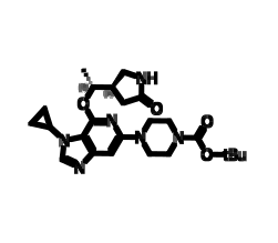 C[C@@H](Oc1nc(N2CCN(C(=O)OC(C)(C)C)CC2)cc2ncn(C3CC3)c12)[C@H]1CNC(=O)C1